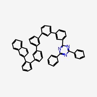 c1ccc(-c2nc(-c3ccccc3)nc(-c3cccc(-c4cccc(-c5cccc(-c6cccc(-c7ccccc7-c7ccc8ccccc8c7)c6)c5)c4)c3)n2)cc1